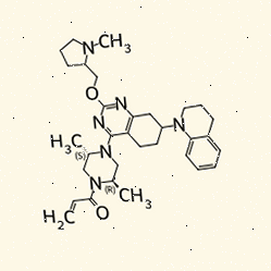 C=CC(=O)N1C[C@H](C)N(c2nc(OCC3CCCN3C)nc3c2CCC(N2CCCc4ccccc42)C3)C[C@H]1C